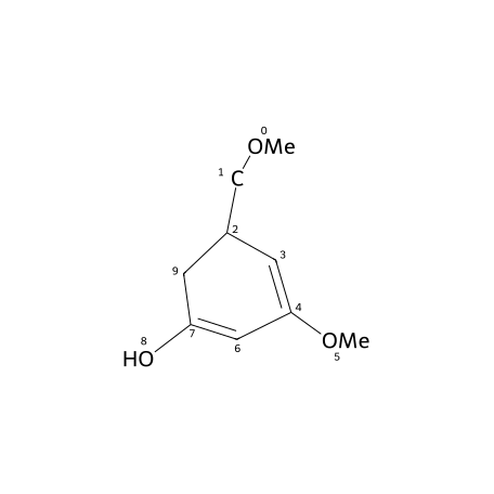 COCC1C=C(OC)C=C(O)C1